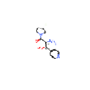 N[C@H](C(=O)N1CC[C@H](F)C1)[C@H](O)c1ccncc1